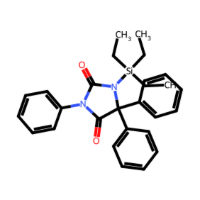 CC[Si](CC)(CC)N1C(=O)N(c2ccccc2)C(=O)C1(c1ccccc1)c1ccccc1